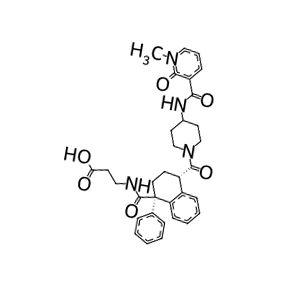 Cn1cccc(C(=O)NC2CCN(C(=O)[C@H]3CC[C@@](C(=O)NCCC(=O)O)(c4ccccc4)c4ccccc43)CC2)c1=O